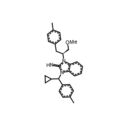 COC[C@H](Cc1ccc(C)cc1)n1c(=N)n(C(c2ccc(C)cc2)C2CC2)c2ccccc21